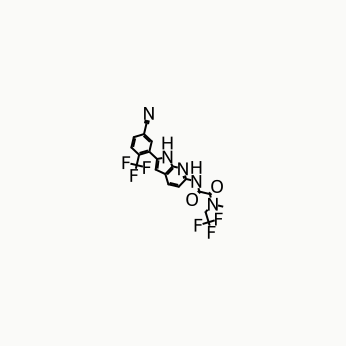 CN(CC(F)(F)F)C(=O)C(=O)Nc1ccc2cc(-c3cc(C#N)ccc3C(F)(F)F)[nH]c2n1